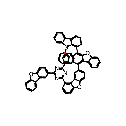 c1ccc(-c2nc(-c3ccc4oc5ccccc5c4c3)nc(-c3cccc4oc5ccc(-c6ccc(-c7cccc8c9ccccc9n(-c9ccccc9)c78)c7oc8ccccc8c67)cc5c34)n2)cc1